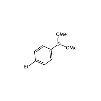 CCc1ccc([SiH](OC)OC)cc1